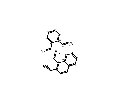 C=Cc1ccc2ccccc2c1C=C.C=Cc1ccccc1C=C